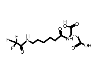 O=C(O)C[C@H](NC(=O)CCCCCNC(=O)C(F)(F)F)C(=O)O